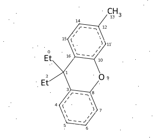 CCC1(CC)c2ccccc2Oc2cc(C)ccc21